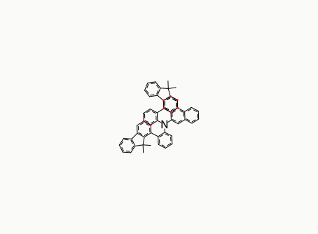 CC1(C)c2ccccc2-c2c(-c3ccccc3N(c3ccccc3-c3cccc4c3C(C)(C)c3ccccc3-4)c3cc4ccccc4c4ccccc34)cccc21